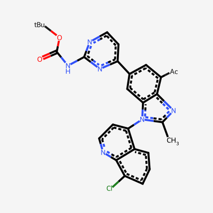 CC(=O)c1cc(-c2ccnc(NC(=O)OC(C)(C)C)n2)cc2c1nc(C)n2-c1ccnc2c(Cl)cccc12